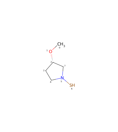 CO[C@H]1CCN(S)C1